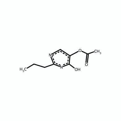 CCCc1ncc(OC(C)=O)c(O)n1